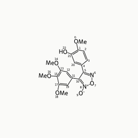 COc1ccc(-c2no[n+]([O-])c2-c2cc(OC)c(OC)c(OC)c2)cc1O